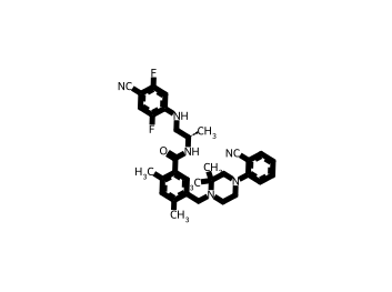 Cc1cc(C)c(C(=O)N[C@@H](C)CNc2cc(F)c(C#N)cc2F)cc1CN1CCN(c2ccccc2C#N)CC1(C)C